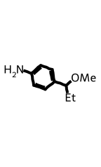 CCC(OC)c1ccc(N)cc1